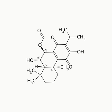 CC(C)C1=C(O)C(=O)C2=C(C1=O)[C@H](OC=O)[C@@H](O)[C@H]1C(C)(C)CCC[C@]21C